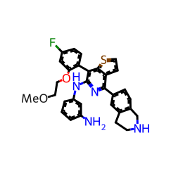 COCCOc1cc(F)ccc1-c1c(Nc2cccc(N)c2)nc(-c2ccc3c(c2)CCNC3)c2ccsc12